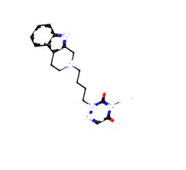 Cn1c(=O)cnn(CCCCN2CCc3c([nH]c4ccccc34)C2)c1=O